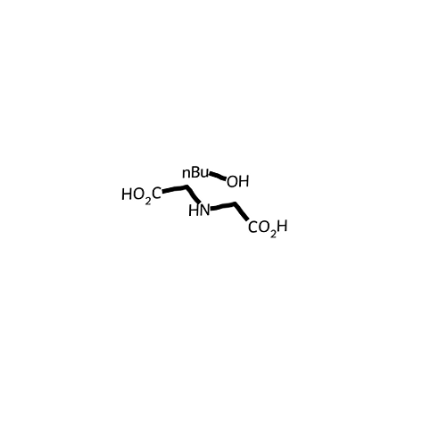 CCCCO.O=C(O)CNCC(=O)O